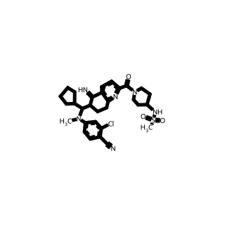 CN(c1ccc(C#N)c(Cl)c1)C(C1CCCC1)C1CCc2nc(C(=O)N3CCC(NS(C)(=O)=O)CC3)ccc2C1=N